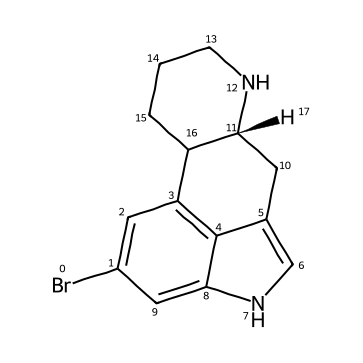 Brc1cc2c3c(c[nH]c3c1)C[C@H]1NCCCC21